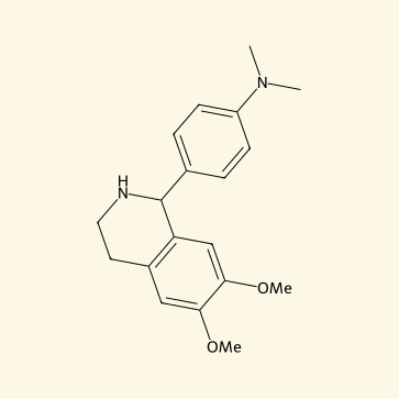 COc1cc2c(cc1OC)C(c1ccc(N(C)C)cc1)NCC2